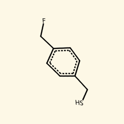 FCc1ccc(CS)cc1